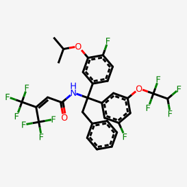 CC(C)Oc1cc(C(Cc2ccccc2)(NC(=O)C=C(C(F)(F)F)C(F)(F)F)c2cc(F)cc(OC(F)(F)C(F)F)c2)ccc1F